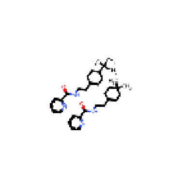 CC(C)(C)C1CC=C(CCNC(=O)c2ccccn2)CC1.CC1(C)CC=C(CCNC(=O)c2ccccn2)CC1